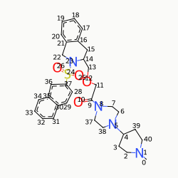 CN1CCC(N2CCN(C(=O)COCC3Cc4ccccc4CN3S(=O)(=O)c3ccc4ccccc4c3)CC2)CC1